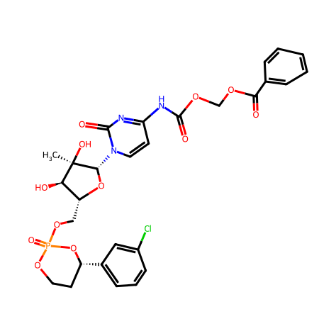 C[C@@]1(O)[C@H](O)[C@@H](COP2(=O)OCC[C@@H](c3cccc(Cl)c3)O2)O[C@H]1n1ccc(NC(=O)OCOC(=O)c2ccccc2)nc1=O